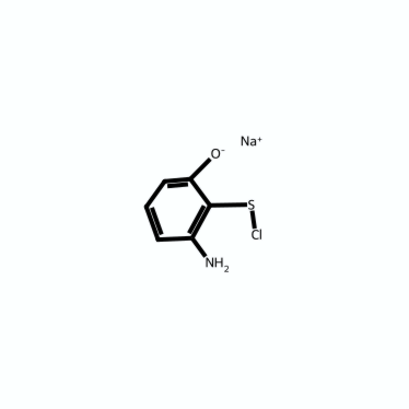 Nc1cccc([O-])c1SCl.[Na+]